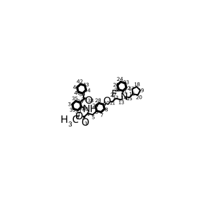 COC(=O)C(Cc1ccc(OCCCN(CC2CCCC2)c2ccccc2F)cc1)Nc1ccccc1C(=O)c1ccccc1